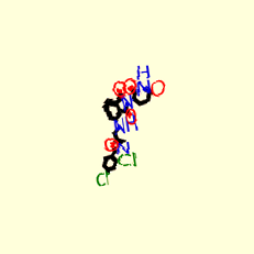 O=C1CCC(N2C(=O)c3cccc(NCc4cnc(-c5ccc(Cl)cc5Cl)o4)c3C2=O)C(=O)N1